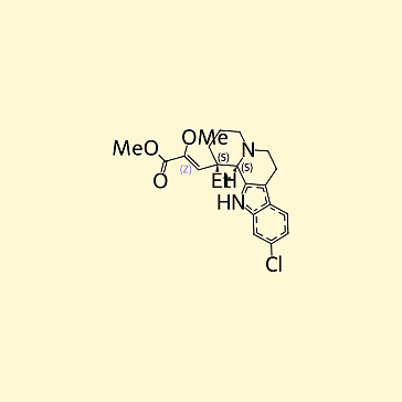 CC[C@@]1(/C=C(\OC)C(=O)OC)CCCN2CCc3c([nH]c4cc(Cl)ccc34)[C@@H]21